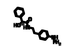 O=C(NCCc1ccc(NP)cc1)[C@H](O)c1ccccc1